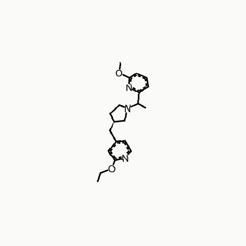 CCOc1cc(C[C@H]2CCN(C(C)c3cccc(OC)n3)C2)ccn1